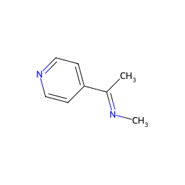 C/N=C(\C)c1ccncc1